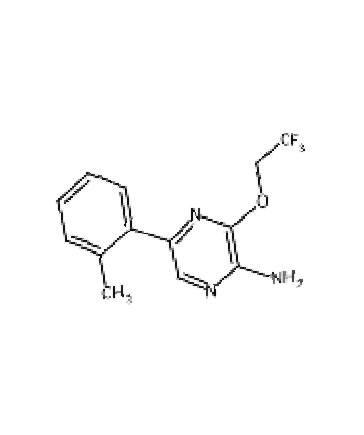 Cc1ccccc1-c1cnc(N)c(OCC(F)(F)F)n1